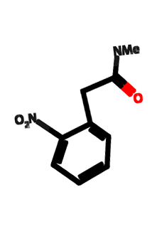 CNC(=O)Cc1ccccc1[N+](=O)[O-]